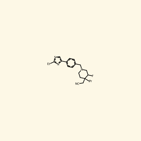 CCc1nc(-c2ccc(CN3CCC(CC#N)(C(C)C)C(F)C3)cc2)cs1